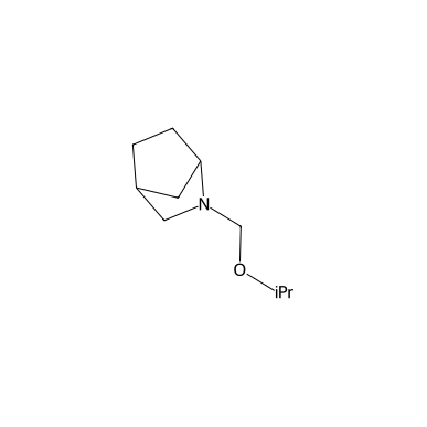 CC(C)OCN1CC2CCC1C2